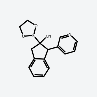 N#CC1(B2OCCO2)Cc2ccccc2C1c1cccnc1